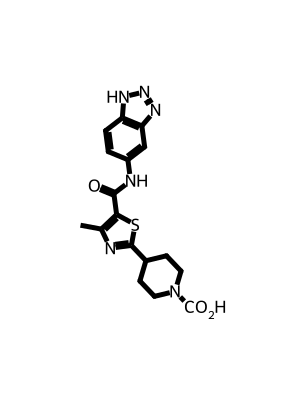 Cc1nc(C2CCN(C(=O)O)CC2)sc1C(=O)Nc1ccc2[nH]nnc2c1